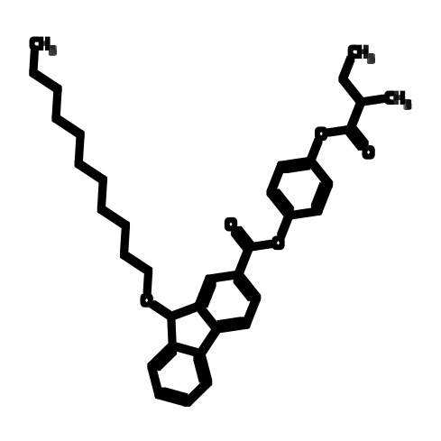 CCCCCCCCCCCOC1c2ccccc2-c2ccc(C(=O)Oc3ccc(OC(=O)C(C)CC)cc3)cc21